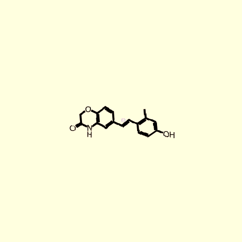 Cc1cc(O)ccc1/C=C/c1ccc2c(c1)NC(=O)CO2